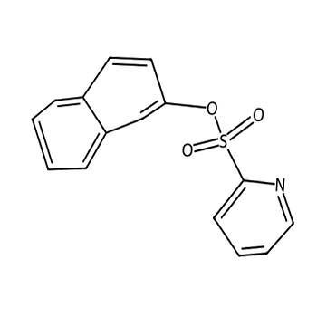 O=S(=O)(Oc1ccc2ccccc2c1)c1ccccn1